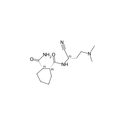 CN(C)CC[C@@H](C#N)NC(=O)[C@@H]1CCCC[C@@H]1C(N)=O